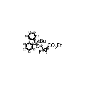 CCOC(=O)[C@@H]1C[C@]1(F)CO[Si](c1ccccc1)(c1ccccc1)C(C)(C)C